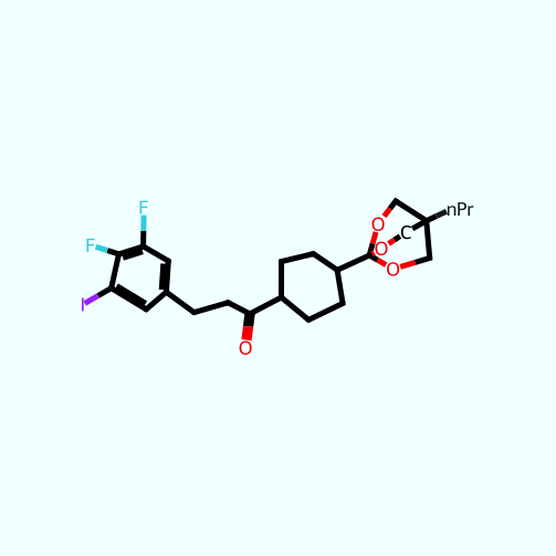 CCCC12COC(C3CCC(C(=O)CCc4cc(F)c(F)c(I)c4)CC3)(OC1)OC2